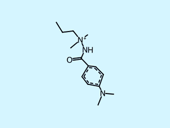 CCC[N+](C)(C)NC(=O)c1ccc(N(C)C)cc1